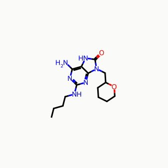 CCCCNc1nc(N)c2[nH]c(=O)n(CC3CCCCO3)c2n1